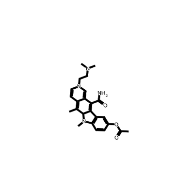 CC(=O)Oc1ccc2c(c1)C1=C(C(N)=O)C3=CN(CCN(C)C)C=CC3=C(C)C1N2C